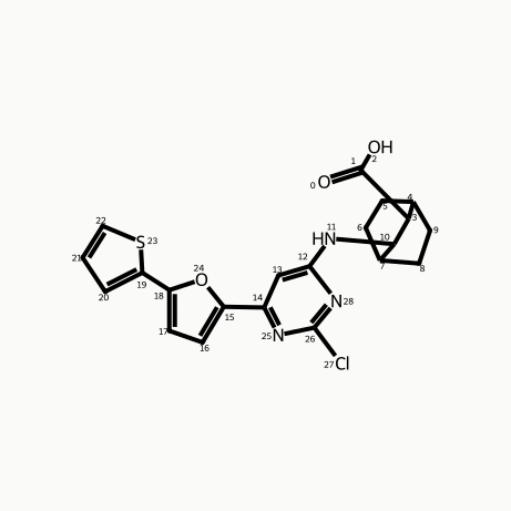 O=C(O)C1C2CCC(CC2)C1Nc1cc(-c2ccc(-c3cccs3)o2)nc(Cl)n1